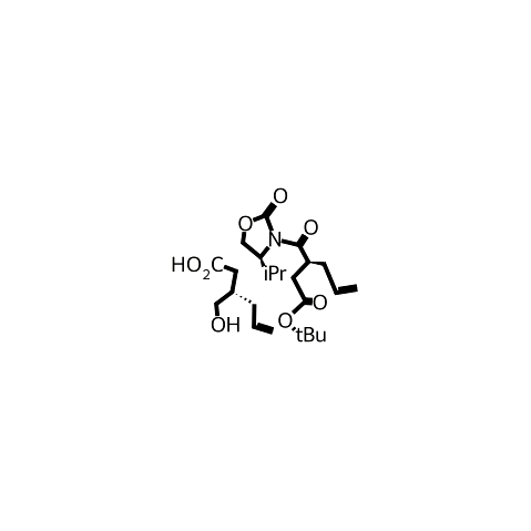 C=CC[C@@H](CC(=O)OC(C)(C)C)C(=O)N1C(=O)OC[C@@H]1C(C)C.C=CC[C@H](CO)CC(=O)O